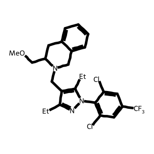 CCc1nn(-c2c(Cl)cc(C(F)(F)F)cc2Cl)c(CC)c1CN1Cc2ccccc2CC1COC